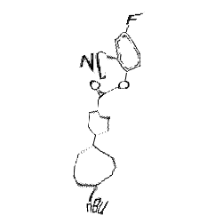 CCCC[C@H]1CC[C@H]([C@H]2CC[C@H](C(=O)Oc3ccc(F)cc3C#N)CC2)CC1